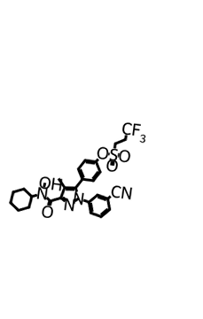 Cc1c(C(=O)N(O)C2CCCCC2)nn(-c2cccc(C#N)c2)c1-c1ccc(OS(=O)(=O)CCC(F)(F)F)cc1